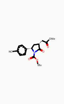 COC(=O)C[C@H]1C[C@@H](c2ccc(C#N)cc2)N(C(=O)OC(C)(C)C)C1=O